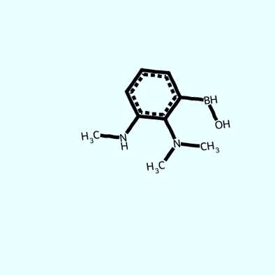 CNc1cccc(BO)c1N(C)C